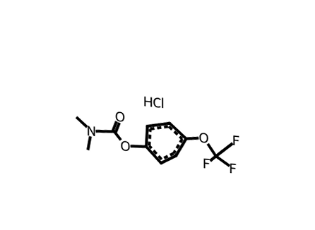 CN(C)C(=O)Oc1ccc(OC(F)(F)F)cc1.Cl